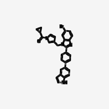 O=C(C1CC1)n1ccc(Cn2c(-c3ccc(-c4ccc5[nH]ccc5c4)cc3)nc3ccc(Br)cc32)c1